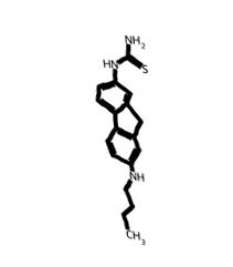 CCCCNc1ccc2c(c1)Cc1cc(NC(N)=S)ccc1-2